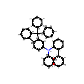 c1ccc(-c2ccccc2N(c2ccccc2)c2ccc3c(c2)C(c2ccccc2)(c2ccccc2)c2ccccc2-3)cc1